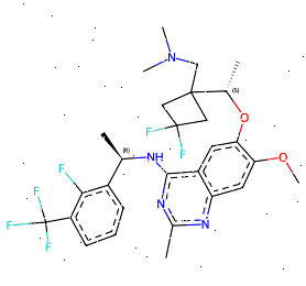 COc1cc2nc(C)nc(N[C@H](C)c3cccc(C(F)(F)F)c3F)c2cc1O[C@@H](C)C1(CN(C)C)CC(F)(F)C1